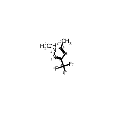 [CH2-][NH+]1N=C(C(F)(F)F)C=C1C